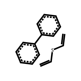 C=CSC=C.c1ccc(-c2ccccc2)cc1